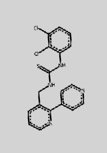 S=C(NCc1cccnc1-c1ccncc1)Nc1cccc(Cl)c1Cl